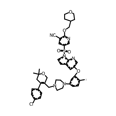 [CH]c1ccc(N2CCN(CC3=C(c4ccc(Cl)cc4)CC(C)(C)OC3)CC2)cc1Oc1cnc2c(ccn2S(=O)(=O)c2cnc(OCC3CCOCC3)c(C#N)c2)c1